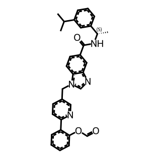 CC(C)c1cccc([C@H](C)NC(=O)c2ccc3c(c2)ncn3Cc2ccc(-c3ccccc3OC=O)nc2)c1